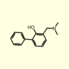 CN(C)Cc1cccc(-c2ccccc2)c1O